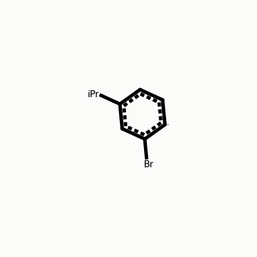 CC(C)c1cc[c]c(Br)c1